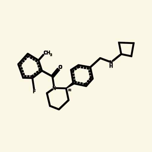 Cc1cccc(F)c1C(=O)N1CCCC[C@@H]1c1ccc(CNC2CCC2)cc1